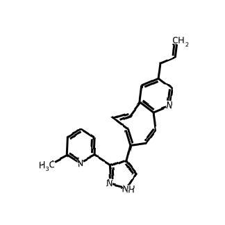 C=CCc1cnc2c(c1)/C=C/C=C(c1c[nH]nc1-c1cccc(C)n1)/C=C\2